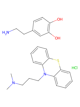 CN(C)CCCN1c2ccccc2Sc2ccccc21.Cl.NCCc1ccc(O)c(O)c1